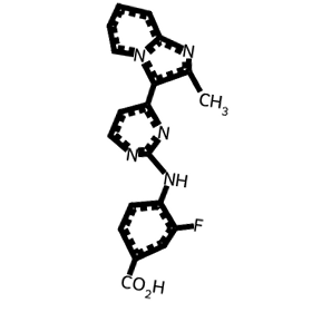 Cc1nc2ccccn2c1-c1ccnc(Nc2ccc(C(=O)O)cc2F)n1